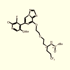 COc1cnc(Cl)c(F)c1-c1cn2ncnc2c(OCCOCC[C@H](CCC(F)(F)F)N[S@@+]([O-])C(C)(C)C)n1